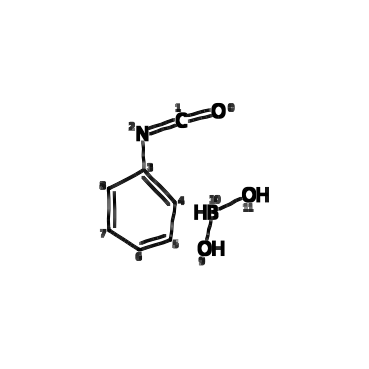 O=C=Nc1ccccc1.OBO